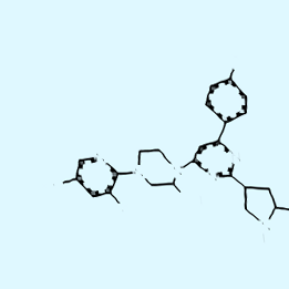 CC1CC(c2nc(-c3ccc(F)cc3)cc(N3CCN(c4ncc(C(=O)O)cc4Cl)CC3C)n2)CN1